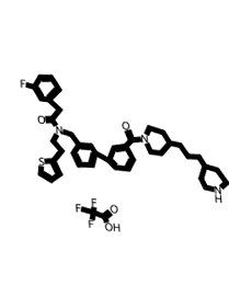 O=C(Cc1cccc(F)c1)N(CCc1cccs1)Cc1cccc(-c2cccc(C(=O)N3CCC(CCCC4CCNCC4)CC3)c2)c1.O=C(O)C(F)(F)F